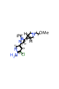 COCCN1C[C@@H]2[C@H](C1)[C@H]2c1cc(-c2cnc(N)c(Cl)c2)nn1C(C)C